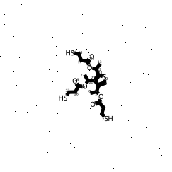 CC(OC(=O)CCS)c1csc(C(C)OC(=O)CCS)c1C(C)OC(=O)CCS